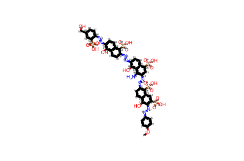 COc1ccc(N=Nc2c(S(=O)(=O)O)cc3c(S(=O)(=O)O)c(N=Nc4cc(S(=O)(=O)O)c5ccc(N=Nc6ccc7c(O)c(N=Nc8ccc(CO)cc8S(=O)(=O)O)ccc7c6S(=O)(=O)O)c(O)c5c4N)ccc3c2O)cc1